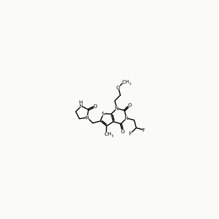 COCCn1c(=O)n(CC(F)F)c(=O)c2c(C)c(CN3CCNC3=O)sc21